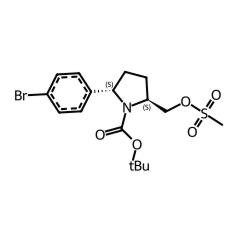 CC(C)(C)OC(=O)N1[C@H](COS(C)(=O)=O)CC[C@H]1c1ccc(Br)cc1